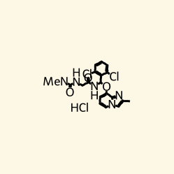 CNC(=O)NCC(=O)NC(Oc1cccn2cc(C)nc12)c1c(Cl)cccc1Cl.Cl